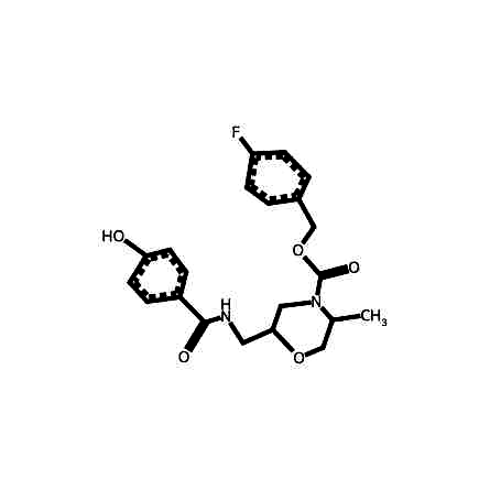 CC1COC(CNC(=O)c2ccc(O)cc2)CN1C(=O)OCc1ccc(F)cc1